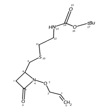 C=CCON1C(=O)CC1CSCCNC(=O)OC(C)(C)C